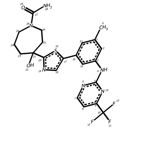 Cc1cc(Nc2nccc(C(F)(F)F)n2)cc(-c2cnc(C3(O)CCCN(C(N)=O)CC3)s2)c1